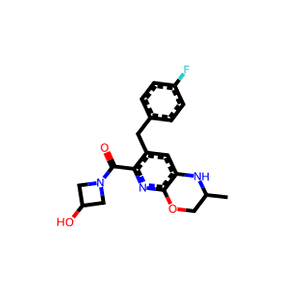 CC1COc2nc(C(=O)N3CC(O)C3)c(Cc3ccc(F)cc3)cc2N1